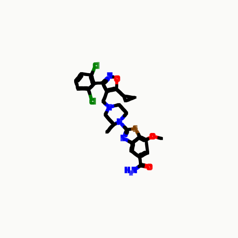 COc1cc(C(N)=O)cc2nc(N3CCN(Cc4c(-c5c(Cl)cccc5Cl)noc4C4CC4)CC3C)sc12